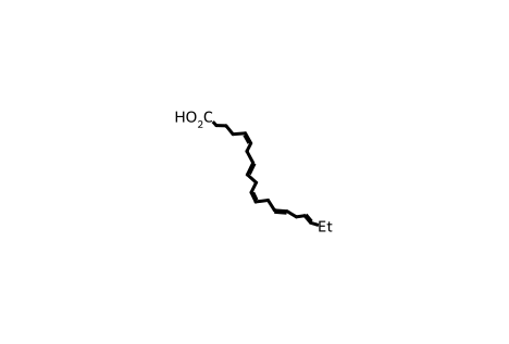 CC/C=C/C/C=C/C/C=C\C/C=C/C/C=C\CCCC(=O)O